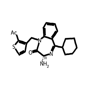 CC(=O)c1sccc1CN1C(=O)[C@@H](N)N=C(C2CCCCC2)c2ccccc21